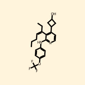 CCC/C=C(/CC)c1c(C2CC(O)C2)ccnc1Nc1ccc(OC(F)(F)F)cc1